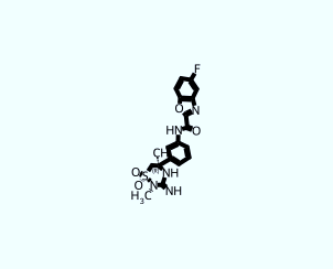 CN1C(=N)N[C@](C)(c2cccc(NC(=O)c3nc4cc(F)ccc4o3)c2)CS1(=O)=O